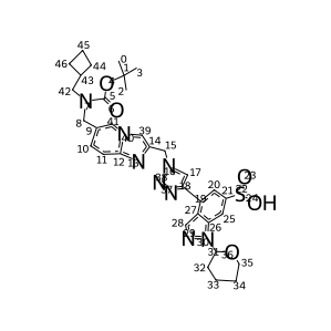 CC(C)(C)OC(=O)N(Cc1ccc2nc(Cn3cc(-c4cc(S(=O)O)cc5c4cnn5C4CCCCO4)nn3)cn2c1)CC1CCC1